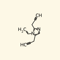 C#CCc1cnc(CC#C)n1C=C